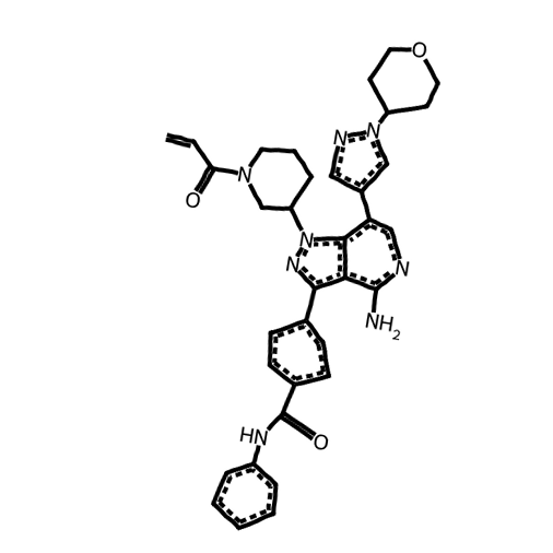 C=CC(=O)N1CCCC(n2nc(-c3ccc(C(=O)Nc4ccccc4)cc3)c3c(N)ncc(-c4cnn(C5CCOCC5)c4)c32)C1